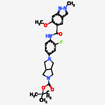 COc1cc2nn(C)cc2cc1C(=O)Nc1ccc(N2CC3CN(C(=O)OC(C)(C)C)CC3C2)cc1F